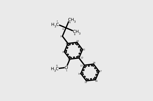 COc1cc(CC(C)(C)C)ccc1-c1ccccc1